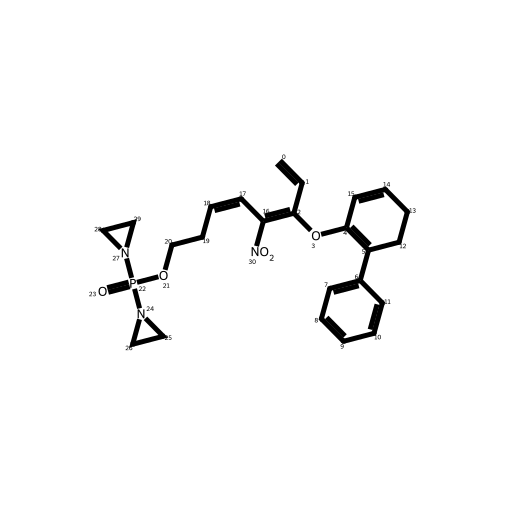 C=C/C(OC1=C(c2ccccc2)CCC=C1)=C(\C=C/CCOP(=O)(N1CC1)N1CC1)[N+](=O)[O-]